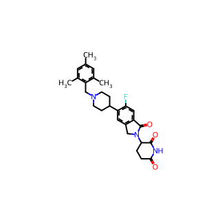 Cc1cc(C)c(CN2CCC(c3cc4c(cc3F)C(=O)N(C3CCC(=O)NC3=O)C4)CC2)c(C)c1